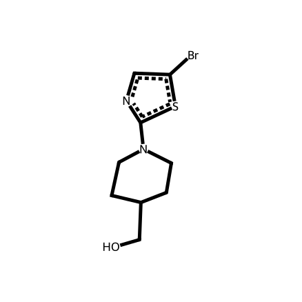 OCC1CCN(c2ncc(Br)s2)CC1